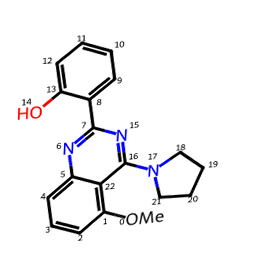 COc1cccc2nc(-c3ccccc3O)nc(N3CCCC3)c12